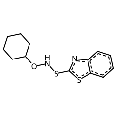 c1ccc2sc(SNOC3CCCCC3)nc2c1